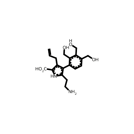 C=CCc1c(C(=O)O)[nH]c(CCN)c1-c1ccc(CO)c(CO)c1CO